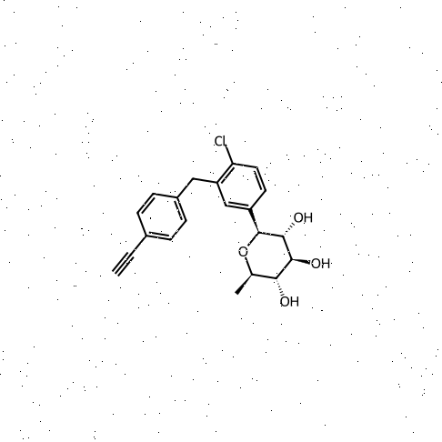 C#Cc1ccc(Cc2cc([C@@H]3O[C@H](C)[C@@H](O)[C@H](O)[C@H]3O)ccc2Cl)cc1